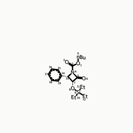 CCCCOC(=O)N1C(=O)[C@H](O[Si](CC)(CC)CC)[C@@H]1c1ccccc1